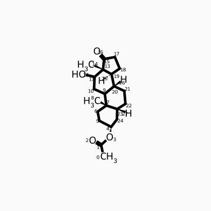 CC(=O)O[C@@H]1CC[C@]2(C)C3CC(O)[C@]4(C)C(=O)CC[C@H]4[C@@H]3CC[C@@H]2C1